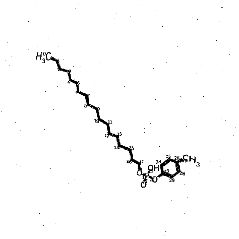 CCCCCCCCCCCCCCCCCCOP(=O)(O)Oc1ccc(C)cc1